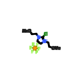 COCCN1CC[N+](CCOC)=C1Cl.F[P-](F)(F)(F)(F)F